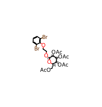 CC(=O)OC[C@H]1O[C@H](OCCOc2c(Br)cccc2Br)[C@H](OC(C)=O)[C@@H](OC(C)=O)[C@@H]1OC(C)=O